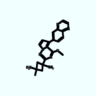 COc1nc(C2(N)CC(C)(N)C2)nn2ccc(-c3ccc4nccnc4c3)c12